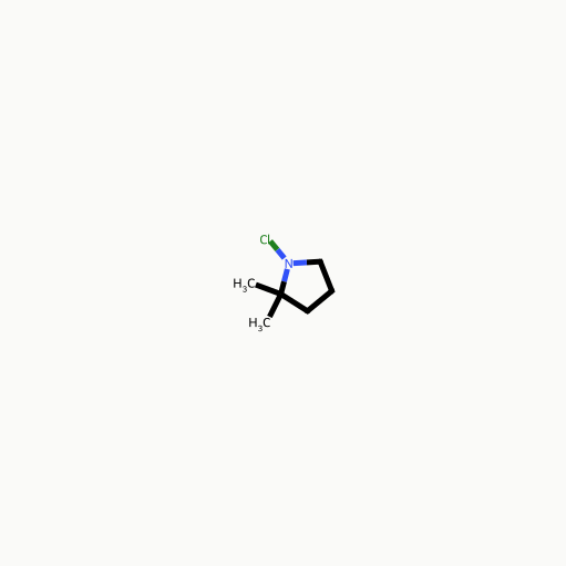 CC1(C)CCCN1Cl